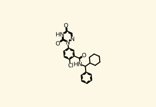 O=C(NC(c1ccccc1)C1CCCCC1)c1cc(-n2ncc(=O)[nH]c2=O)ccc1Cl